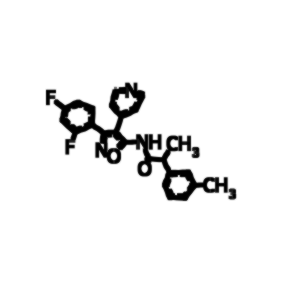 Cc1cccc(C(C)C(=O)Nc2onc(-c3ccc(F)cc3F)c2-c2ccncc2)c1